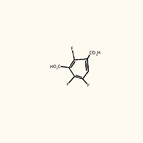 O=C(O)c1cc(F)c(F)c(C(=O)O)c1F